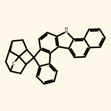 c1ccc2c(c1)-c1c(ccc3[nH]c4c5ccccc5ccc4c13)C21C2CC3CC4CC1C2(C3)C4